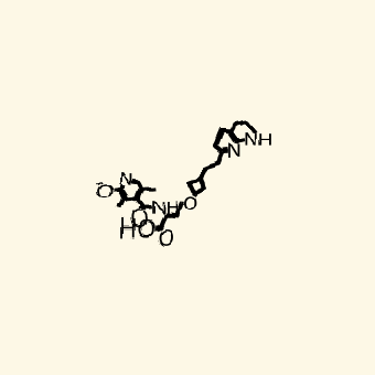 COc1ncc(C)c(C(=O)NC(CCOC2CC(CCc3ccc4c(n3)NCCC4)C2)C(=O)O)c1C